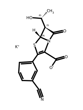 C[C@@H](O)[C@H]1C(=O)N2C(C(=O)[O-])=C(c3cccc(C#N)c3)S[C@H]12.[K+]